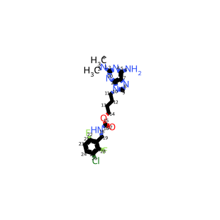 CN(C)c1nc(N)c2ncn(CCCCOC(=O)NCc3c(F)ccc(Cl)c3F)c2n1